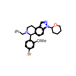 COc1cc(Br)ccc1C1c2ccc3c(cnn3C3CCCCO3)c2CCN1CC(C)C